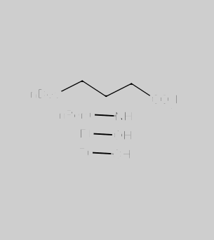 CCCCCCCCCCCCCC(=O)O.CCCCCN.CCO.CCO